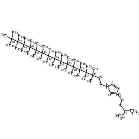 CC(C)CC[n+]1ccn(CCC(F)(F)C(F)(F)C(F)(F)C(F)(F)C(F)(F)C(F)(F)C(F)(F)C(F)(F)C(F)(F)C(F)(F)C(F)(F)C(F)(F)C(F)(F)C(F)(F)F)c1